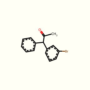 CC(=O)C(c1ccccc1)c1cccc(Br)c1